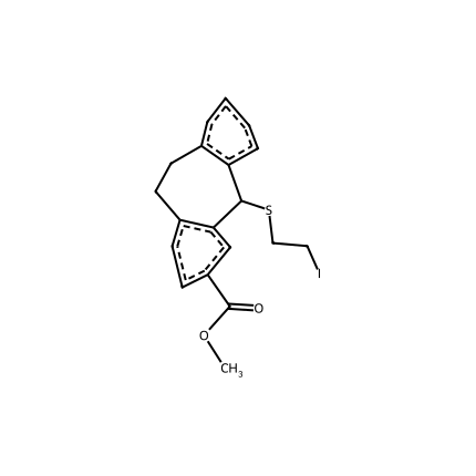 COC(=O)c1ccc2c(c1)C(SCCI)c1ccccc1CC2